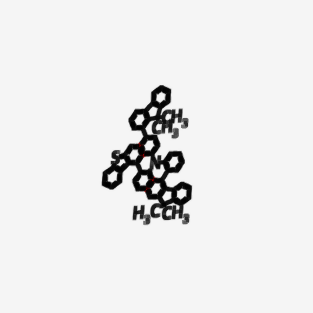 CC1(C)c2ccccc2-c2c(-c3ccccc3N(c3ccc(-c4cccc5c4C(C)(C)c4ccccc4-5)cc3)c3ccccc3-c3cccc4sc5ccccc5c34)cccc21